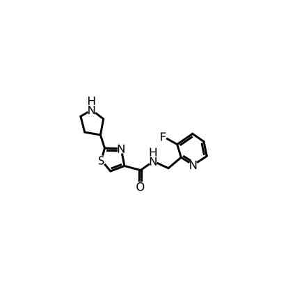 O=C(NCc1ncccc1F)c1csc(C2CCNC2)n1